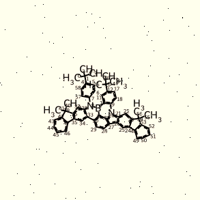 CC(C)(C)c1ccc(N2B3c4cc(C(C)(C)C)ccc4-n4c5cc6c(cc5c5ccc(c3c54)-c3cc4c(cc32)C(C)(C)c2ccccc2-4)-c2ccccc2C6(C)C)cc1